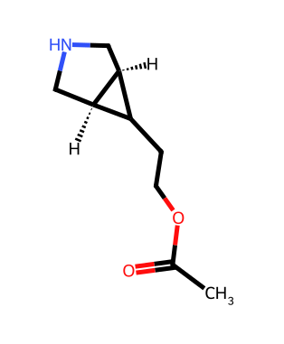 CC(=O)OCCC1[C@H]2CNC[C@@H]12